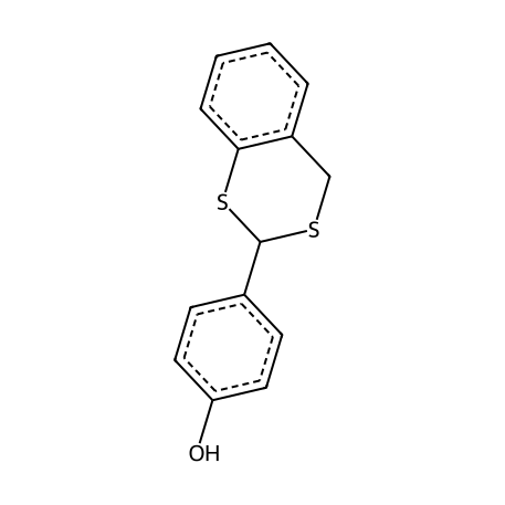 Oc1ccc(C2SCc3ccccc3S2)cc1